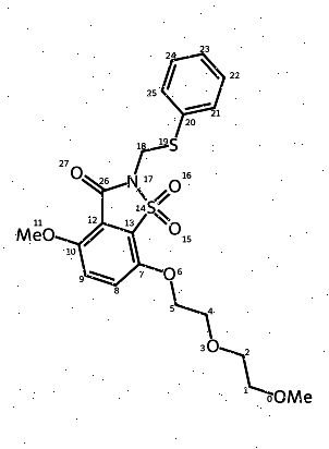 COCCOCCOc1ccc(OC)c2c1S(=O)(=O)N(CSc1ccccc1)C2=O